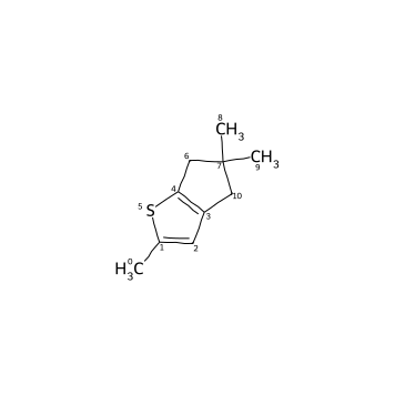 Cc1cc2c(s1)CC(C)(C)C2